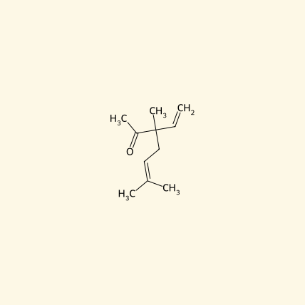 C=CC(C)(CC=C(C)C)C(C)=O